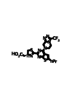 CCCc1cc2c(N3CCn4c(nnc4C(F)(F)F)C3)nc(C3=N[C@H](CC(=O)O)CS3)nc2s1